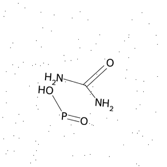 NC(N)=O.O=PO